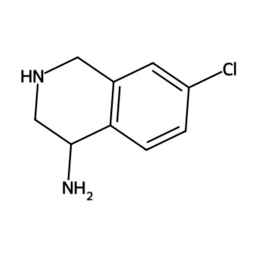 NC1CNCc2cc(Cl)ccc21